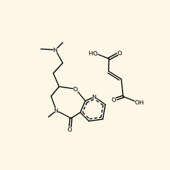 CN(C)CCC1CN(C)C(=O)c2cccnc2O1.O=C(O)C=CC(=O)O